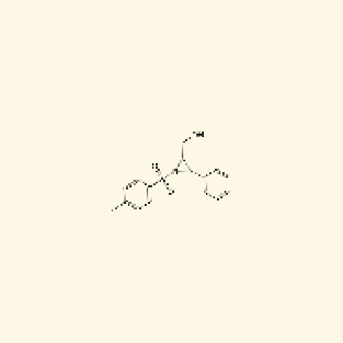 Cc1ccc(S(=O)(=O)N2C(CO)C2c2ccccc2)cc1